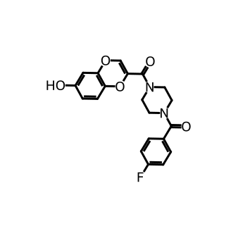 O=C(C1=COc2cc(O)ccc2O1)N1CCN(C(=O)c2ccc(F)cc2)CC1